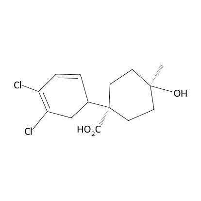 C[C@]1(O)CC[C@@](C(=O)O)(C2C=CC(Cl)=C(Cl)C2)CC1